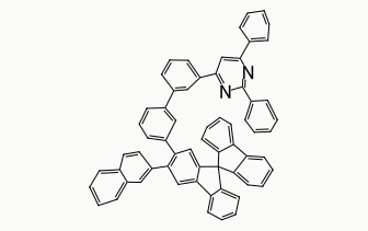 c1ccc(-c2cc(-c3cccc(-c4cccc(-c5cc6c(cc5-c5ccc7ccccc7c5)-c5ccccc5C65c6ccccc6-c6ccccc65)c4)c3)nc(-c3ccccc3)n2)cc1